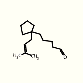 CC(C)=CCC1(CCCCC=O)CCCC1